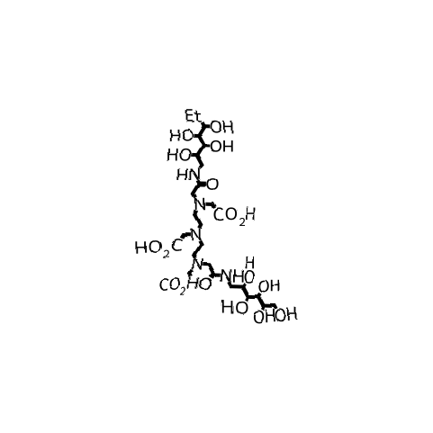 CCC(O)C(O)C(O)C(O)CNC(=O)CN(CCN(CCN(CC(=O)O)CC(=O)NCC(O)C(O)C(O)C(O)CO)CC(=O)O)CC(=O)O